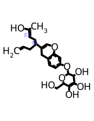 C=CC/C(=C\C=C(/C)O)C1=COc2cc(OC3OC(CO)C(O)=C(O)C3O)ccc2C1